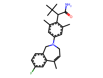 CC1=CCN(c2cc(C)c(C(C(N)=O)C(C)(C)C)c(C)c2)Cc2ccc(F)cc21